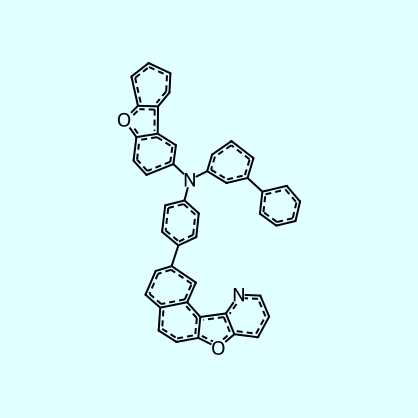 c1ccc(-c2cccc(N(c3ccc(-c4ccc5ccc6oc7cccnc7c6c5c4)cc3)c3ccc4oc5ccccc5c4c3)c2)cc1